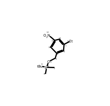 CCc1cc(CO[Si](C)(C)C(C)(C)C)cc([N+](=O)[O-])c1